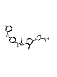 CNC1CCN(c2ccc(NC(=O)Nc3ccc(Oc4cccnc4)cc3)c(F)c2)C1